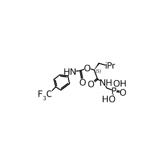 CC(C)C[C@H](OC(=O)Nc1ccc(C(F)(F)F)cc1)C(=O)NCP(=O)(O)O